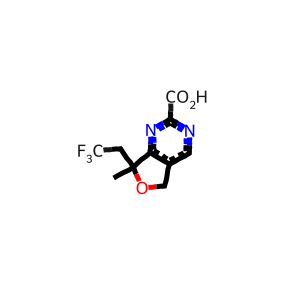 CC1(CC(F)(F)F)OCc2cnc(C(=O)O)nc21